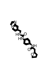 O=C(CC1CCCO1)Nc1ccc(NC(=O)NCc2ccn3ccnc3c2)cc1